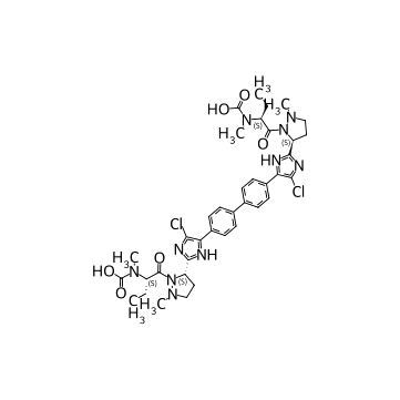 CC[C@@H](C(=O)N1[C@H](c2nc(Cl)c(-c3ccc(-c4ccc(-c5[nH]c([C@@H]6CCN(C)N6C(=O)[C@H](CC)N(C)C(=O)O)nc5Cl)cc4)cc3)[nH]2)CCN1C)N(C)C(=O)O